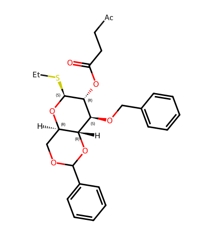 CCS[C@@H]1O[C@@H]2COC(c3ccccc3)O[C@H]2[C@H](OCc2ccccc2)[C@H]1OC(=O)CCC(C)=O